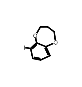 Ic1cccc2c1OCCCO2